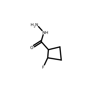 NNC(=O)C1CCC1F